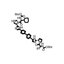 COC(=O)NC(C(=O)N1CC=C[C@H]1c1ncc(-c2ccc(-c3ccc(-c4cnc([C@@H]5CNCN5C(=O)[C@@H](NC(=O)OC)C5CCCCC5)[nH]4)cc3)cc2)[nH]1)C(C)C